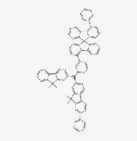 CC1(C)c2ccccc2-c2ccc(N(c3cccc(-c4cccc5c4-c4ccccc4C54c5ccccc5-c5c(-c6ccccc6)cccc54)c3)c3ccc4c(c3)C(C)(C)c3cc(-c5ccccc5)ccc3-4)cc21